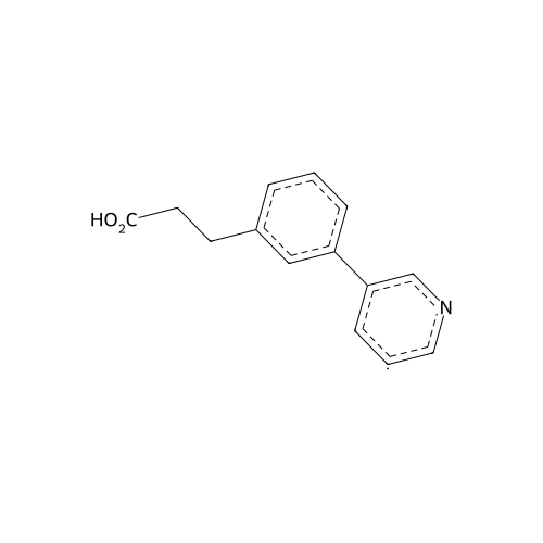 O=C(O)CCc1cccc(-c2c[c]cnc2)c1